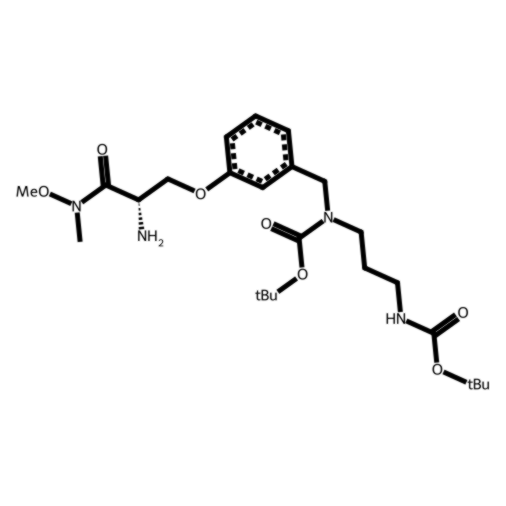 CON(C)C(=O)[C@@H](N)COc1cccc(CN(CCCNC(=O)OC(C)(C)C)C(=O)OC(C)(C)C)c1